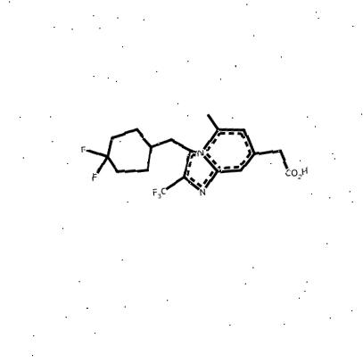 Cc1cc(CC(=O)O)cc2nc(C(F)(F)F)c(CC3CCC(F)(F)CC3)n12